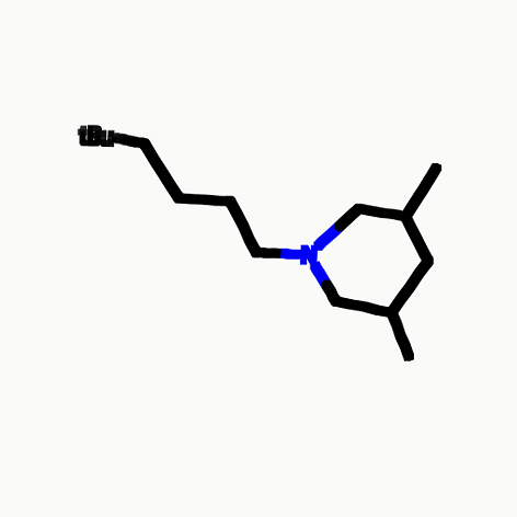 CC1CC(C)CN(CCCCC(C)(C)C)C1